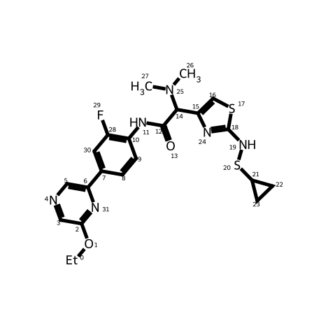 CCOc1cncc(-c2ccc(NC(=O)C(c3csc(NSC4CC4)n3)N(C)C)c(F)c2)n1